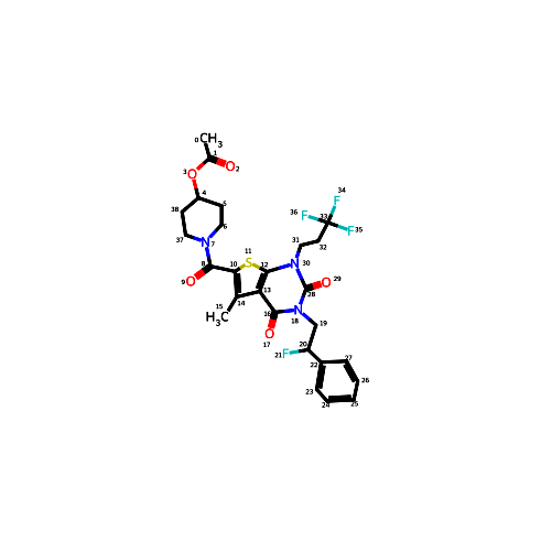 CC(=O)OC1CCN(C(=O)c2sc3c(c2C)c(=O)n(CC(F)c2ccccc2)c(=O)n3CCC(F)(F)F)CC1